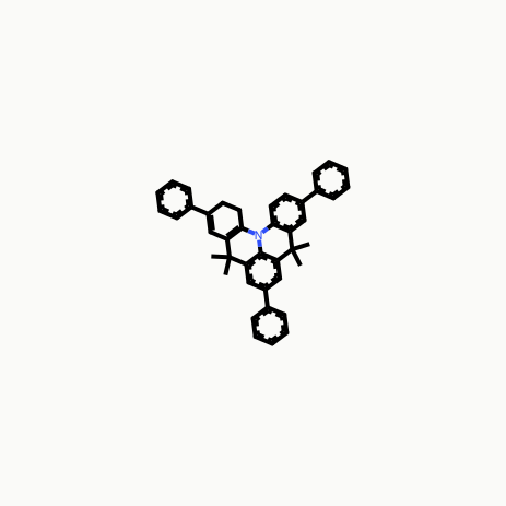 CC1(C)C2=C(CCC(c3ccccc3)=C2)N2c3ccc(-c4ccccc4)cc3C(C)(C)c3cc(-c4ccccc4)cc1c32